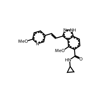 COc1ccc(C=Cc2n[nH]c3ccc(C(=O)NC4CC4)c(OC)c23)cn1